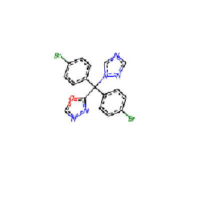 Brc1ccc(C(c2ccc(Br)cc2)(c2nnco2)n2cncn2)cc1